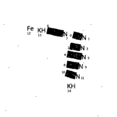 C#N.C#N.C#N.C#N.C#N.C#N.[Fe].[KH].[KH]